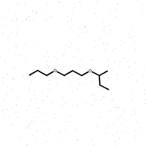 CC[CH]OCCCOC(C)CC